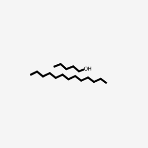 CCCCCCCCCCCCC.CCCCCO